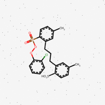 Cc1ccc(S(=O)(=O)O)c(CCCc2cc(C)ccc2S(=O)(=O)OOc2ccccc2Cl)c1